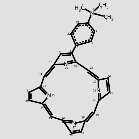 C[N+](C)(C)c1ccc(C2=CC3=CC4=NC(=CC5=NC(=CC6=NC(=CC2=N3)C=C6)C=C5)C=C4)cc1